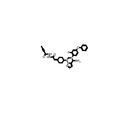 CC#CC(=O)NNC(=O)C=C1CCC(N2CN(c3ccc(Oc4ccccc4)cc3F)C(N)c3ccnn32)CC1